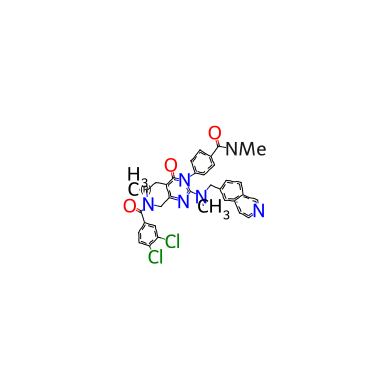 CNC(=O)c1ccc(-n2c(N(C)Cc3ccc4cnccc4c3)nc3c(c2=O)C[C@@H](C)N(C(=O)c2ccc(Cl)c(Cl)c2)C3)cc1